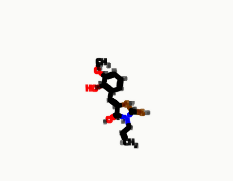 C=CCN1C(=O)/C(=C/c2cccc(OC)c2O)SC1=S